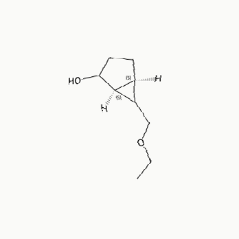 CCOCC1[C@H]2C(O)CC[C@@H]12